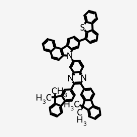 CC1(C)c2ccccc2-c2ccc(-c3nc4ccc(-n5c6cc(-c7cccc8c7sc7ccccc78)ccc6c6c7ccccc7ccc65)cc4nc3-c3ccc4c(c3)C(C)(C)c3ccccc3-4)cc21